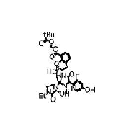 CCN1CCN(C(=O)NC(C(=O)N[C@H]2Cc3cccc(C(=O)OCOC(=O)C(C)(C)C)c3OB2O)c2ncc(O)cc2F)C(O)C1=O